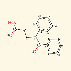 O=C(O)CCC(C(=O)c1ccccc1)c1ccccc1